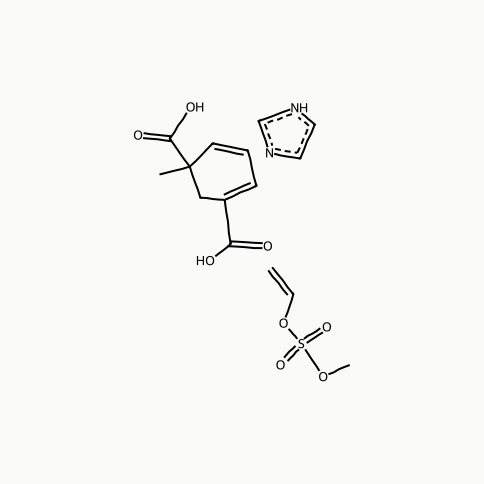 C=COS(=O)(=O)OC.CC1(C(=O)O)C=CC=C(C(=O)O)C1.c1c[nH]cn1